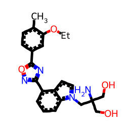 CCOc1cc(-c2nc(-c3cccc4c3ccn4CC(N)(CO)CO)no2)ccc1C